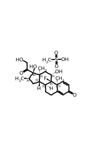 CS(=O)(=O)O.C[C@@H]1C[C@H]2[C@@H]3CCC4=CC(=O)C=C[C@]4(C)[C@@]3(F)[C@@H](O)C[C@]2(C)[C@@]1(O)C(=O)CO